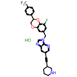 Cl.Fc1cc(Cn2cnc3cc(C#CC4CCCNC4)cnc32)cc2c1OC(c1ccc(C(F)(F)F)cc1)CO2